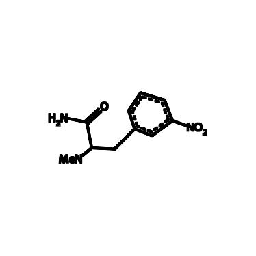 CNC(Cc1cccc([N+](=O)[O-])c1)C(N)=O